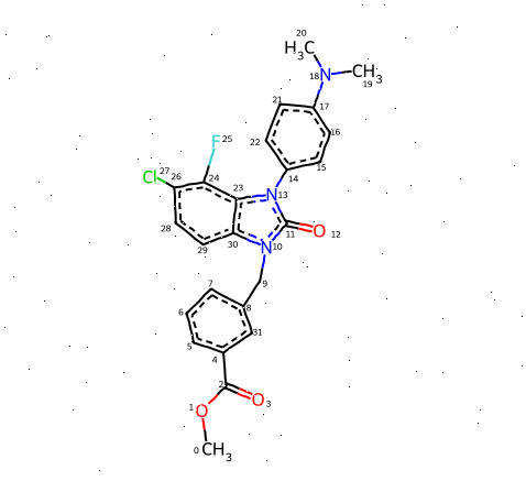 COC(=O)c1cccc(Cn2c(=O)n(-c3ccc(N(C)C)cc3)c3c(F)c(Cl)ccc32)c1